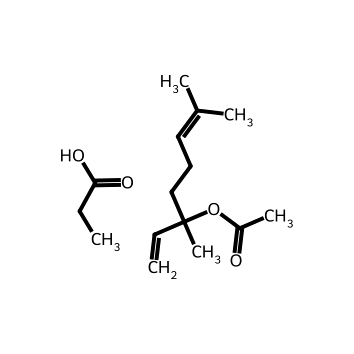 C=CC(C)(CCC=C(C)C)OC(C)=O.CCC(=O)O